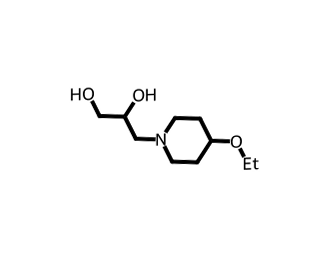 CCOC1CCN(CC(O)CO)CC1